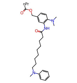 CCCC(=O)OCc1ccc(N(C)C)c(NC(=O)CCCCCCCCN(C)c2ccccc2)c1